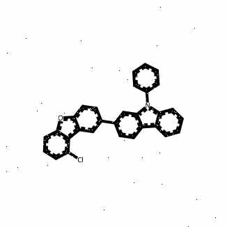 Clc1cccc2oc3ccc(-c4ccc5c6ccccc6n(-c6ccccc6)c5c4)cc3c12